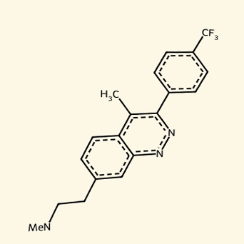 CNCCc1ccc2c(C)c(-c3ccc(C(F)(F)F)cc3)nnc2c1